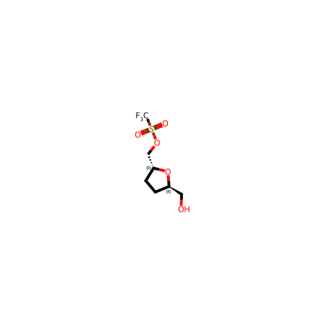 O=S(=O)(OC[C@H]1CC[C@H](CO)O1)C(F)(F)F